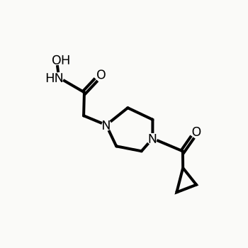 O=C(CN1CCN(C(=O)C2CC2)CC1)NO